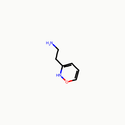 NCCC1=CC=CON1